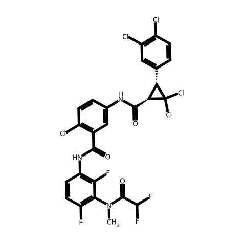 CN(C(=O)C(F)F)c1c(F)ccc(NC(=O)c2cc(NC(=O)[C@H]3[C@H](c4ccc(Cl)c(Cl)c4)C3(Cl)Cl)ccc2Cl)c1F